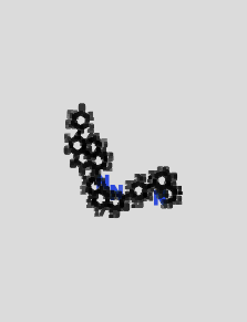 c1ccc(-c2ccc3ccc4c(-c5ccc6ccc7ccc(-c8ccc(-c9cccc%10cccnc9%10)cc8)nc7c6n5)ccc5ccc2c3c54)cc1